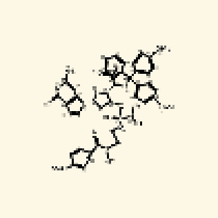 COc1ccc(C(=O)N(CCOP(=O)(O[C@H]2C[C@H](n3cnc4c(=O)[nH]c(N)nc43)O[C@@H]2C(OC(c2ccccc2)(c2ccc(OC)cc2)c2ccc(OC)cc2)C(=O)C(C)C)N(C(C)C)C(C)C)C(C)C)cc1